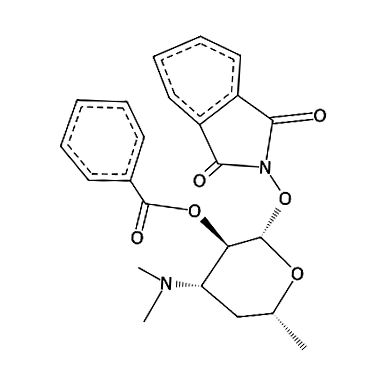 C[C@@H]1C[C@H](N(C)C)[C@@H](OC(=O)c2ccccc2)[C@H](ON2C(=O)c3ccccc3C2=O)O1